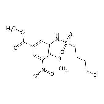 COC(=O)c1cc(NS(=O)(=O)CCCCCl)c(OC)c([N+](=O)[O-])c1